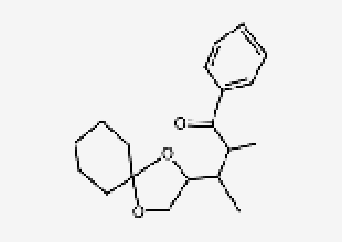 CC(C(=O)c1ccccc1)C(C)C1COC2(CCCCC2)O1